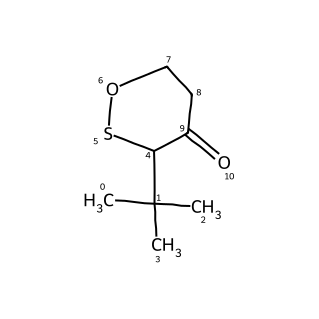 CC(C)(C)C1SOCCC1=O